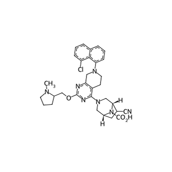 CN1CCCC1COc1nc2c(c(N3C[C@H]4CC(C#N)[C@@H](C3)N4C(=O)O)n1)CCN(c1cccc3cccc(Cl)c13)C2